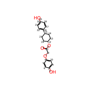 O=C(COc1ccc(O)cc1)O[C@H]1CC[C@H](c2ccc(O)cc2)CC1